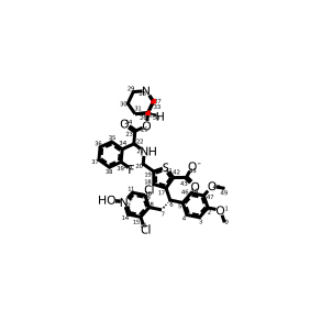 COc1ccc([C@H](Cc2c(Cl)c[n+](O)cc2Cl)c2cc(CNC(C(=O)O[C@H]3CN4CCC3CC4)c3ccccc3F)sc2C(=O)[O-])cc1OC